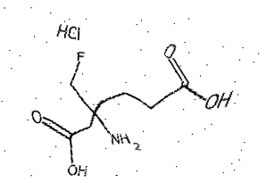 Cl.NC(CF)(CCC(=O)O)C(=O)O